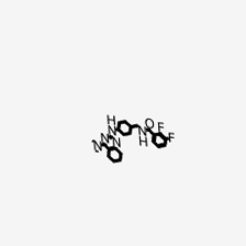 CN(C)c1nc(NC2CCC(CNC(=O)c3cccc(F)c3F)CC2)nc2c1CCCC2